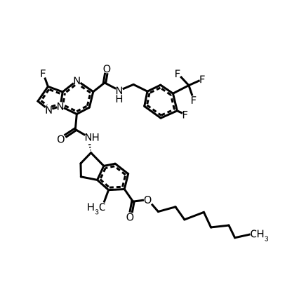 CCCCCCCCOC(=O)c1ccc2c(c1C)CC[C@@H]2NC(=O)c1cc(C(=O)NCc2ccc(F)c(C(F)(F)F)c2)nc2c(F)cnn12